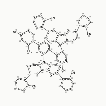 N#Cc1ccc(-n2c3ccc(-c4ccccc4C#N)cc3c3cc(-c4ccccc4C#N)ccc32)c(-c2ccc(-c3ccc(C#N)cc3C(F)(F)F)cc2-n2c3ccc(-c4ccccc4C#N)cc3c3cc(-c4ccccc4C#N)ccc32)c1